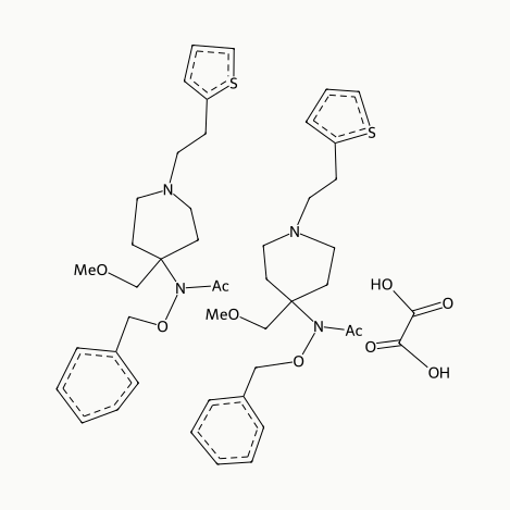 COCC1(N(OCc2ccccc2)C(C)=O)CCN(CCc2cccs2)CC1.COCC1(N(OCc2ccccc2)C(C)=O)CCN(CCc2cccs2)CC1.O=C(O)C(=O)O